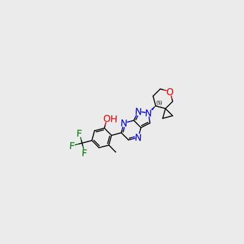 Cc1cc(C(F)(F)F)cc(O)c1-c1cnc2cn([C@H]3CCOCC34CC4)nc2n1